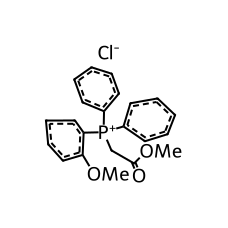 COC(=O)C[P+](c1ccccc1)(c1ccccc1)c1ccccc1OC.[Cl-]